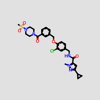 Cn1nc(C2CC2)cc1C(=O)NCc1ccc(OCc2cccc(C(=O)N3CCN(S(C)(=O)=O)CC3)c2)c(Cl)c1